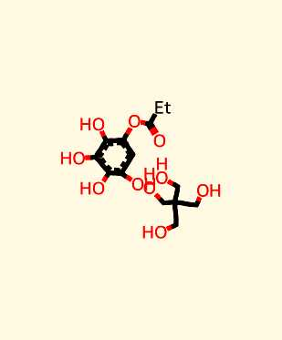 CCC(=O)Oc1cc(O)c(O)c(O)c1O.OCC(CO)(CO)CO